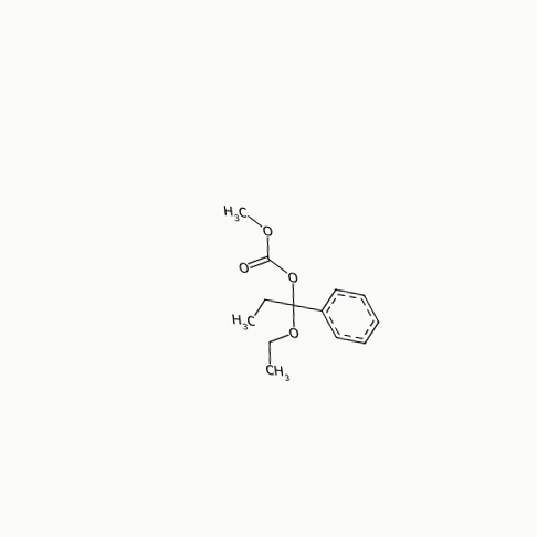 CCOC(CC)(OC(=O)OC)c1ccccc1